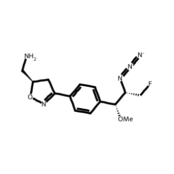 CO[C@H](c1ccc(C2=NO[C@@H](CN)C2)cc1)[C@@H](CF)N=[N+]=[N-]